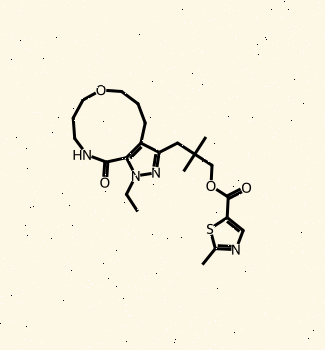 CCn1nc(CC(C)(C)COC(=O)c2cnc(C)s2)c2c1C(=O)NCCCOCCC2